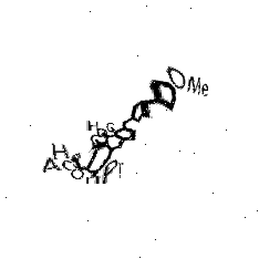 CCCC1CC2Cc3ccc(CC4=CC(c5ccc(OC)cc5)=CC4)c(C)c3C(=O)C2=C(C)C1C(=O)CC(C)=O